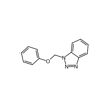 [c]1ccc(OCn2nnc3ccccc32)cc1